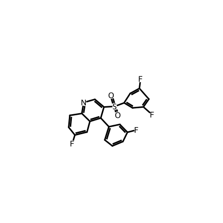 O=S(=O)(c1cc(F)cc(F)c1)c1cnc2ccc(F)cc2c1-c1cccc(F)c1